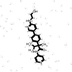 CC(C)C(C)(C(=O)Nc1ccncc1)c1ccc(-c2ccc(NCCO)nc2)cc1